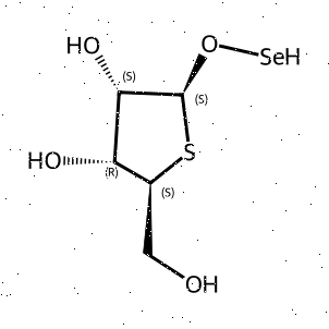 OC[C@@H]1S[C@H](O[SeH])[C@@H](O)[C@H]1O